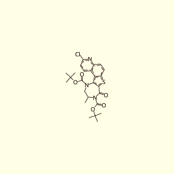 CC1CN(C(=O)OC(C)(C)C)c2c(sc3ccc4nc(Cl)ccc4c23)C(=O)N1C(=O)OC(C)(C)C